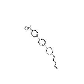 C=CCCC[C@H]1CC[C@H](c2ccc(-c3ccc(C(C)=O)cc3)cc2)CC1